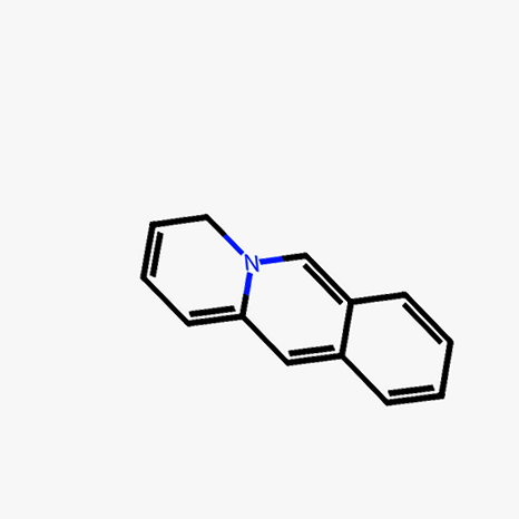 C1=CCN2C=c3ccccc3=CC2=C1